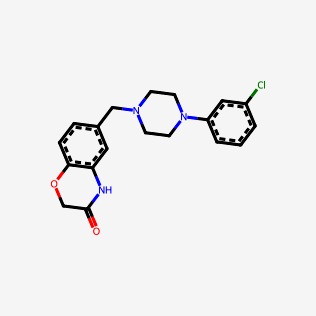 O=C1COc2ccc(CN3CCN(c4cccc(Cl)c4)CC3)cc2N1